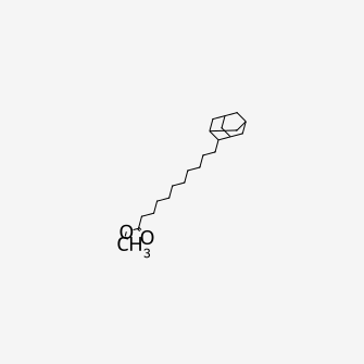 COC(=O)CCCCCCCCCCC1C2CC3CC(C2)CC1C3